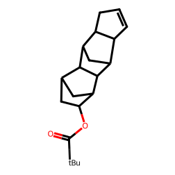 CC(C)(C)C(=O)OC1CC2CC1C1C3CC(C4CC=CC43)C21